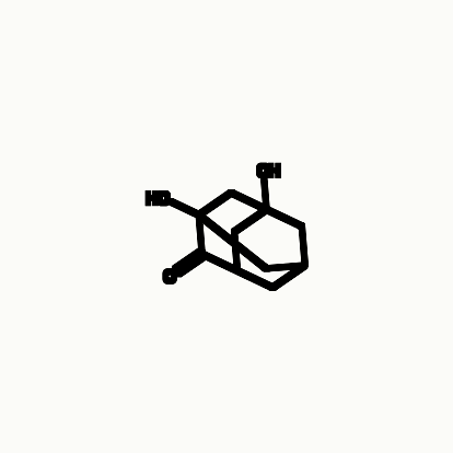 O=C1C2CC3CC(O)(C2)CC1(O)C3